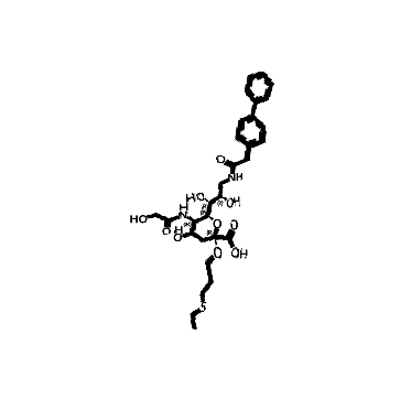 CCSCCCO[C@]1(C(=O)O)CC(O)[C@@H](NC(=O)CO)[C@H]([C@H](O)[C@H](O)CNC(=O)Cc2ccc(-c3ccccc3)cc2)O1